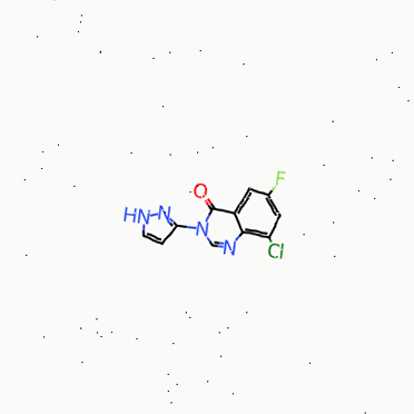 O=c1c2cc(F)cc(Cl)c2ncn1-c1cc[nH]n1